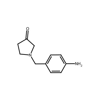 Nc1ccc(CN2CCC(=O)C2)cc1